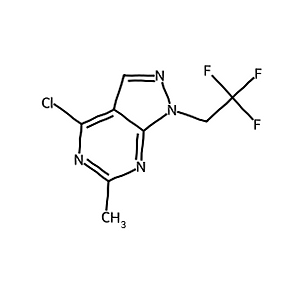 Cc1nc(Cl)c2cnn(CC(F)(F)F)c2n1